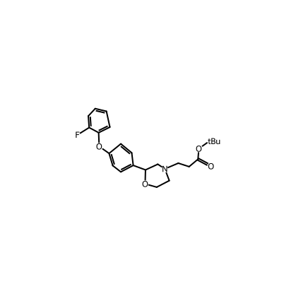 CC(C)(C)OC(=O)CCN1CCOC(c2ccc(Oc3ccccc3F)cc2)C1